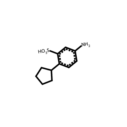 Nc1ccc(C2CCCC2)c(S(=O)(=O)O)c1